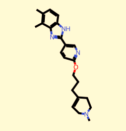 Cc1ccc2[nH]c(-c3ccc(OCCCC4=CCN(C)CC4)nc3)nc2c1C